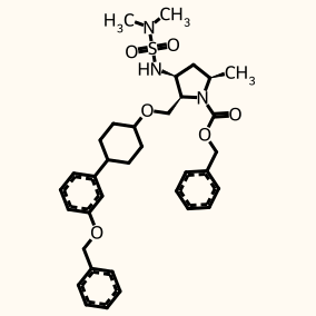 C[C@@H]1C[C@H](NS(=O)(=O)N(C)C)[C@H](COC2CCC(c3cccc(OCc4ccccc4)c3)CC2)N1C(=O)OCc1ccccc1